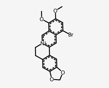 COc1cc(Br)c2cc3[n+](cc2c1OC)CCc1cc2c(cc1-3)OCO2